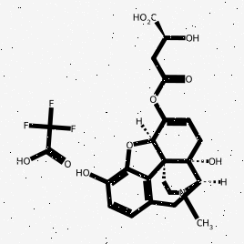 CN1CC[C@]23c4c5ccc(O)c4O[C@H]2C(OC(=O)C[C@H](O)C(=O)O)=CC[C@@]3(O)[C@H]1C5.O=C(O)C(F)(F)F